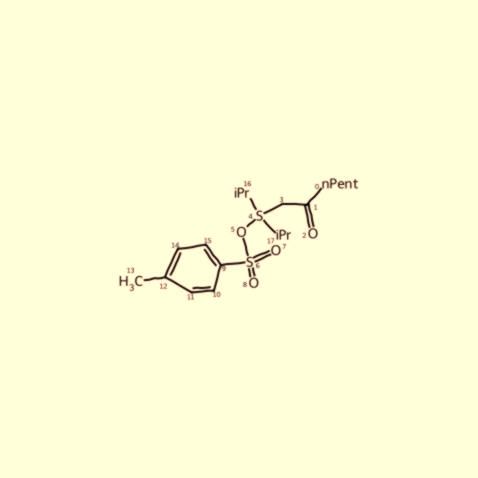 CCCCCC(=O)CS(OS(=O)(=O)c1ccc(C)cc1)(C(C)C)C(C)C